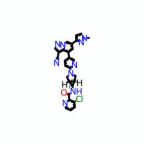 Cn1ccc(-c2cc(-c3ccc(N4C[C@@H]5[C@H](C4)[C@H]5NC(=O)c4ncccc4Cl)nc3)c3c(C#N)cnn3c2)n1